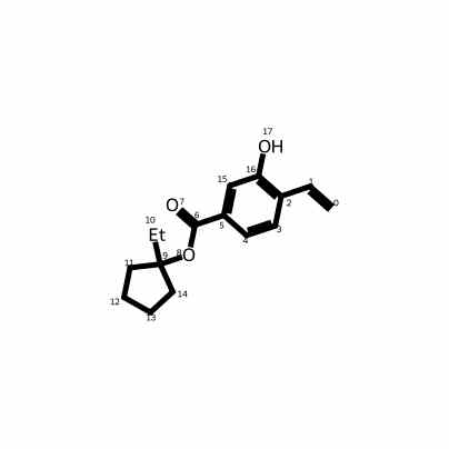 C=Cc1ccc(C(=O)OC2(CC)CCCC2)cc1O